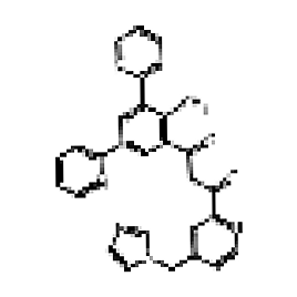 Cc1c(C(=O)CC(=O)c2cc(Cn3ccnc3)ccn2)cc(-c2ccccn2)cc1-c1ccccn1